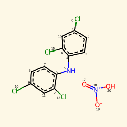 Clc1ccc(Nc2ccc(Cl)cc2Cl)c(Cl)c1.O=[N+]([O-])O